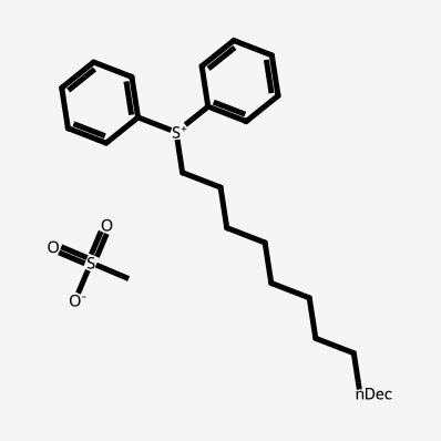 CCCCCCCCCCCCCCCCCC[S+](c1ccccc1)c1ccccc1.CS(=O)(=O)[O-]